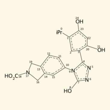 CC(C)c1cc(-c2nnc(O)n2-c2ccc3c(c2)CN(C(=O)O)C3)c(O)cc1O